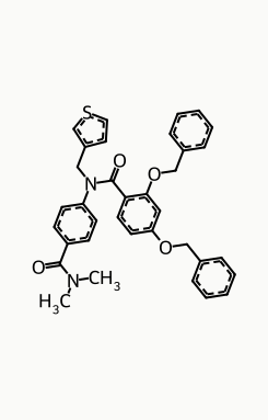 CN(C)C(=O)c1ccc(N(Cc2ccsc2)C(=O)c2ccc(OCc3ccccc3)cc2OCc2ccccc2)cc1